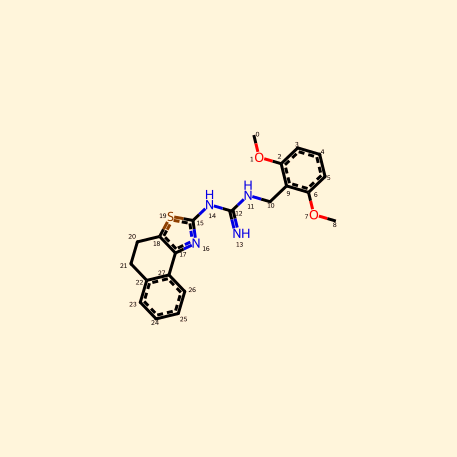 COc1cccc(OC)c1CNC(=N)Nc1nc2c(s1)CCc1ccccc1-2